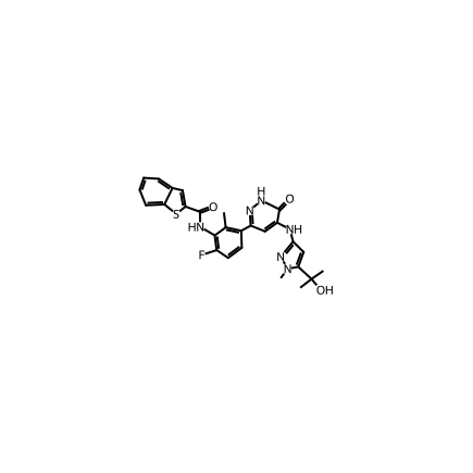 Cc1c(-c2cc(Nc3cc(C(C)(C)O)n(C)n3)c(=O)[nH]n2)ccc(F)c1NC(=O)c1cc2ccccc2s1